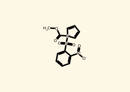 COC(=O)[N+]1(S(=O)(=O)c2ccccc2[N+](=O)[O-])C=CC=C1